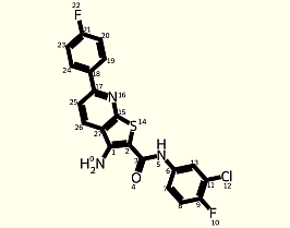 Nc1c(C(=O)Nc2ccc(F)c(Cl)c2)sc2nc(-c3ccc(F)cc3)ccc12